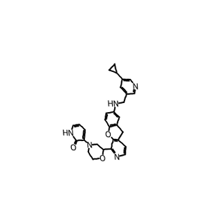 O=c1[nH]cccc1N1CCOC(c2nccc3c2Oc2ccc(NCc4cncc(C5CC5)c4)cc2C3)C1